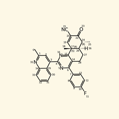 Cc1cc(-c2nc(-c3ccc(F)cc3)c3c(n2)[C@]2(C)C=C(C#N)C(=O)[C@H](C)[C@H]2CC3)c2ccccc2n1